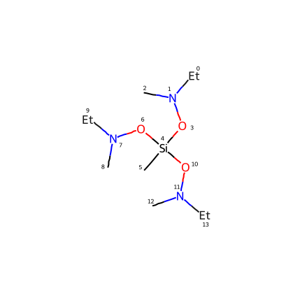 CCN(C)O[Si](C)(ON(C)CC)ON(C)CC